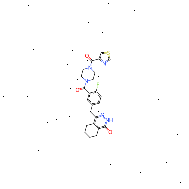 O=C(c1cscn1)N1CCN(C(=O)c2cc(Cc3n[nH]c(=O)c4c3CCCC4)ccc2F)CC1